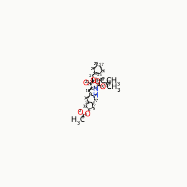 CC(=O)OC1Cc2ccc(C=C(NC(=O)OC(C)(C)C)C(=O)OCc3ccccc3)cc2C1